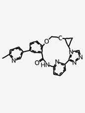 Cc1ccc(-c2ccc3c(c2)C(=O)Nc2cccc(n2)-c2nncn2C2CC2CCO3)cn1